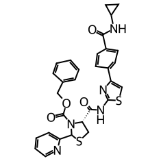 O=C(NC1CC1)c1ccc(-c2csc(NC(=O)[C@@H]3CSC(c4ccccn4)N3C(=O)OCc3ccccc3)n2)cc1